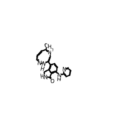 Cc1cccn[nH]c(-c2ccc(Nc3ccccn3)c3c2CNC3=O)cn1